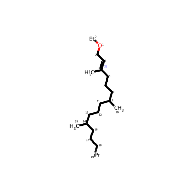 CCOC/C=C(\C)CCCC(C)CCCC(C)CCCC(C)C